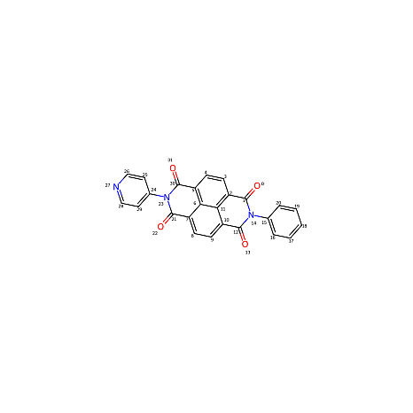 O=C1c2ccc3c4c(ccc(c24)C(=O)N1c1ccccc1)C(=O)N(c1ccncc1)C3=O